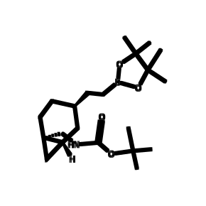 CC(C)(C)OC(=O)NC[C@]12CC[C@@H](CCB3OC(C)(C)C(C)(C)O3)C[C@@H]1C2